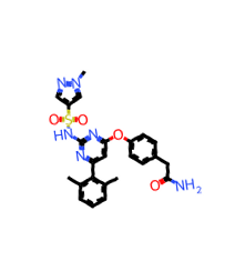 Cc1cccc(C)c1-c1cc(Oc2ccc(CC(N)=O)cc2)nc(NS(=O)(=O)c2cnn(C)c2)n1